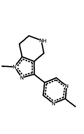 Cc1ncc(-c2nn(C)c3c2CNCC3)cn1